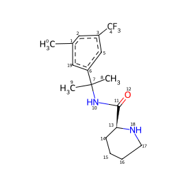 Cc1cc(C(F)(F)F)cc(C(C)(C)NC(=O)[C@@H]2CCCCN2)c1